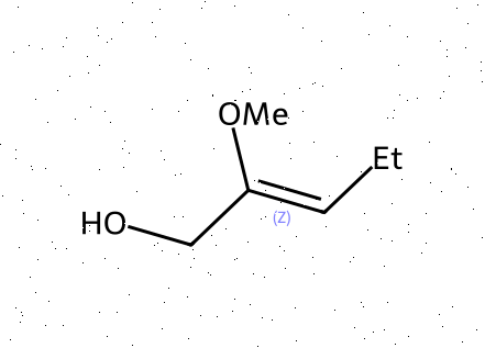 CC/C=C(/CO)OC